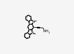 Cn1c2ccccc2c2cc3c4ccccc4n(C)c3c(C#CCN)c21